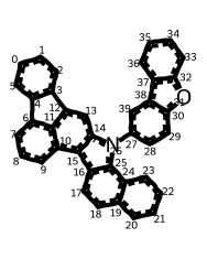 c1ccc2c(c1)-c1cccc3c1c-2cc1c3c2ccc3ccccc3c2n1-c1ccc2oc3ccccc3c2c1